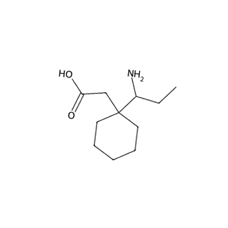 CCC(N)C1(CC(=O)O)CCCCC1